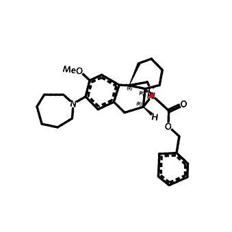 COc1cc2c(cc1N1CCCCCC1)C[C@@H]1[C@@H]3CCCC[C@]23CCN1C(=O)OCc1ccccc1